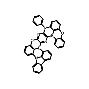 c1ccc(N2c3cccc4c3B(c3ccccc3O4)c3nc4c(nc32)Oc2cccc3c2B4c2cccc4c5ccccc5n-3c24)cc1